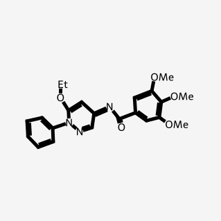 CCOc1cc(=NC(=O)c2cc(OC)c(OC)c(OC)c2)cnn1-c1ccccc1